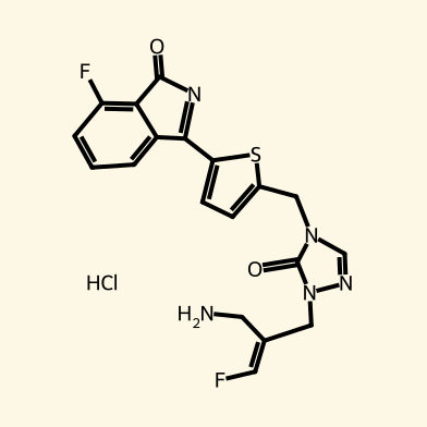 Cl.NC/C(=C\F)Cn1ncn(Cc2ccc(C3=NC(=O)c4c(F)cccc43)s2)c1=O